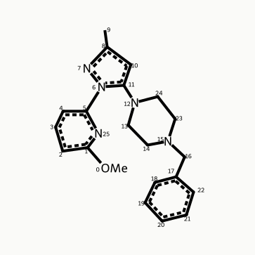 COc1cccc(-n2nc(C)cc2N2CCN(Cc3ccccc3)CC2)n1